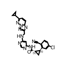 N#Cc1ccc(Cl)cc1[C@H]1C[C@@H]1C(=O)Nc1cc(NCc2nc3ccc(C4CC4)nn3n2)ncn1